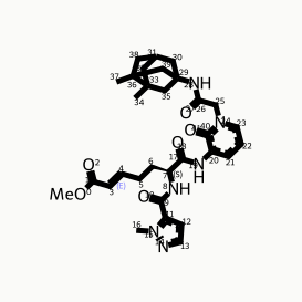 COC(=O)/C=C/CC[C@H](NC(=O)c1ccnn1C)C(=O)Nc1cccn(CC(=O)NC23CC4CC(C)(C2)C(C)(C4)C3)c1=O